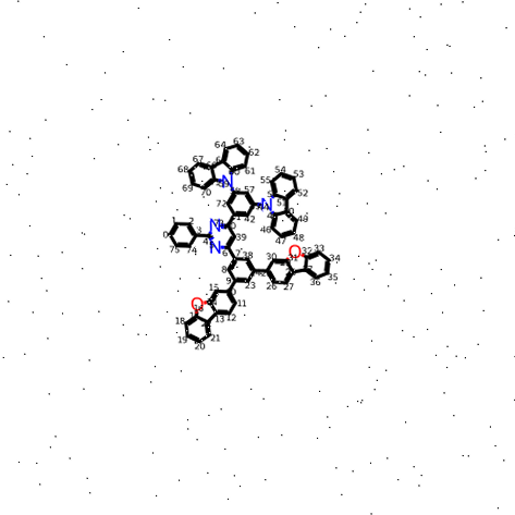 c1ccc(-c2nc(-c3cc(-c4ccc5c(c4)oc4ccccc45)cc(-c4ccc5c(c4)oc4ccccc45)c3)cc(-c3cc(-n4c5ccccc5c5ccccc54)cc(-n4c5ccccc5c5ccccc54)c3)n2)cc1